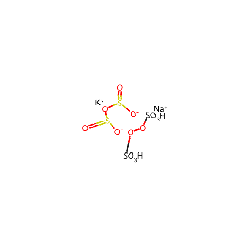 O=S(=O)(O)OOS(=O)(=O)O.O=S([O-])OS(=O)[O-].[K+].[Na+]